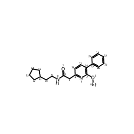 CCOc1nc(CC(=O)NCCC2CCCC2)ccc1-c1ccccc1